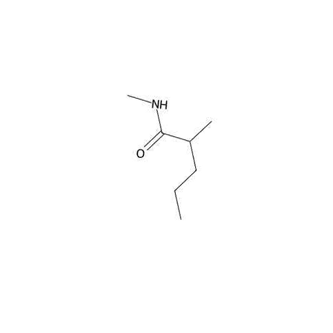 CCCC(C)C(=O)NC